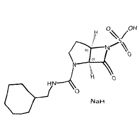 O=C(NCC1CCCCC1)N1CC[C@@H]2[C@H]1C(=O)N2S(=O)(=O)O.[NaH]